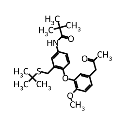 COc1ccc(CC(C)=O)cc1Oc1ccc(NC(=O)C(C)(C)C)cc1CSC(C)(C)C